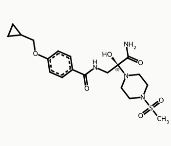 CS(=O)(=O)N1CCN([C@](O)(CNC(=O)c2ccc(OCC3CC3)cc2)C(N)=O)CC1